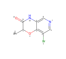 CC(C)C1Oc2c(Br)cncc2NC1=O